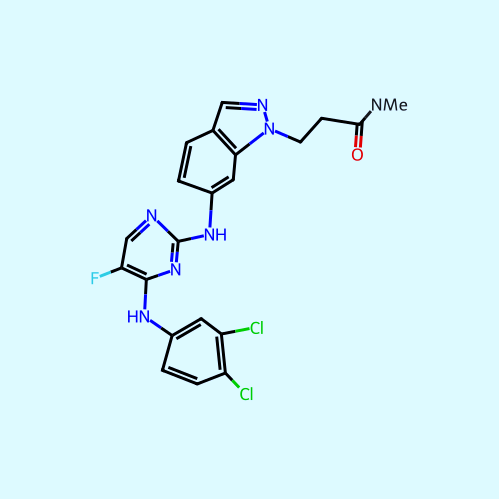 CNC(=O)CCn1ncc2ccc(Nc3ncc(F)c(Nc4ccc(Cl)c(Cl)c4)n3)cc21